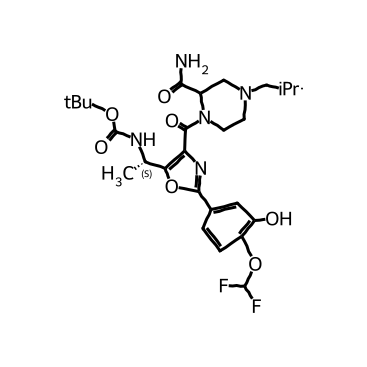 C[C](C)CN1CCN(C(=O)c2nc(-c3ccc(OC(F)F)c(O)c3)oc2[C@H](C)NC(=O)OC(C)(C)C)C(C(N)=O)C1